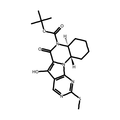 CSc1ncc2c(O)c3n(c2n1)[C@H]1CCCC[C@@H]1N(C(=O)OC(C)(C)C)C3=O